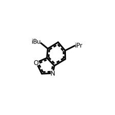 CCC(C)c1cc(C(C)C)cc2ncoc12